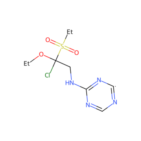 CCOC(Cl)(CNc1n[c]ncn1)S(=O)(=O)CC